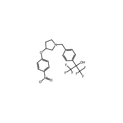 O=[N+]([O-])c1ccc(OC2CCN(Cc3ccc(C(O)(C(F)(F)F)C(F)(F)F)cc3)C2)cc1